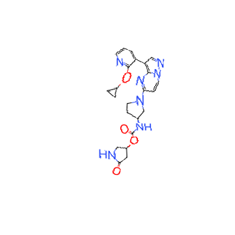 O=C1C[C@H](OC(=O)N[C@H]2CCN(c3ccn4ncc(-c5cccnc5OC5CC5)c4n3)C2)CN1